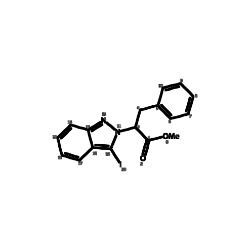 COC(=O)C(Cc1ccccc1)n1nc2ccccc2c1I